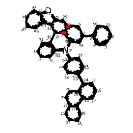 c1ccc(-c2cccc(N(c3ccc(-c4cccc5c4ccc4ccccc45)cc3)c3ccccc3-c3cccc4oc5ccccc5c34)c2)cc1